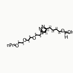 CCCOCCOCCOCCn1cc(CCCCOPO)nn1